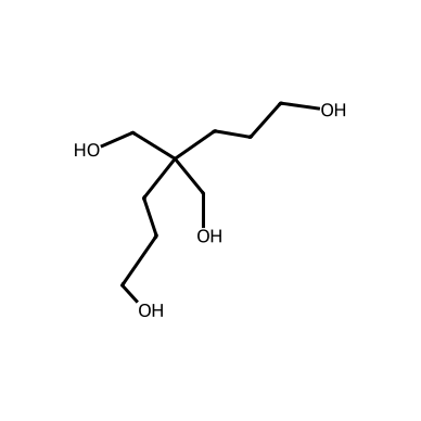 OCCCC(CO)(CO)CCCO